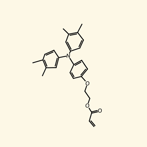 C=CC(=O)OCCOc1ccc(N(c2ccc(C)c(C)c2)c2ccc(C)c(C)c2)cc1